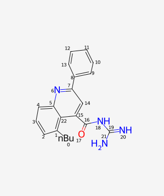 CCCCc1cccc2nc(-c3ccccc3)cc(C(=O)NC(=N)N)c12